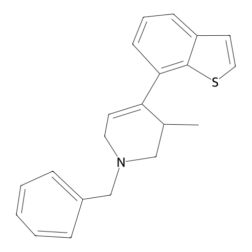 CC1CN(Cc2ccccc2)CC=C1c1cccc2ccsc12